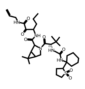 C=CCNC(=O)C(=O)C(CCC)NC(=O)C1C2C(CN1C(=O)[C@@H](NC(=O)NC1(C3CCCS3(=O)=O)CCCCC1)C(C)(C)C)C2(C)C